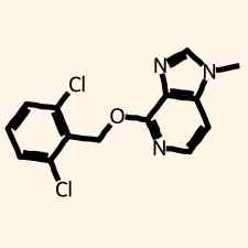 Cn1cnc2c(OCc3c(Cl)cccc3Cl)nccc21